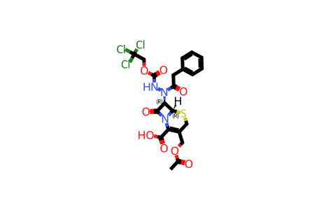 CC(=O)OCC1=C(C(=O)O)N2C(=O)[C@@H](N(NC(=O)OCC(Cl)(Cl)Cl)C(=O)Cc3ccccc3)[C@H]2SC1